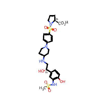 CS(=O)(=O)Nc1cc([C@H](O)CNC2CCN(c3ccc(S(=O)(=O)N4CCC[C@H]4C(=O)O)cc3)CC2)ccc1O